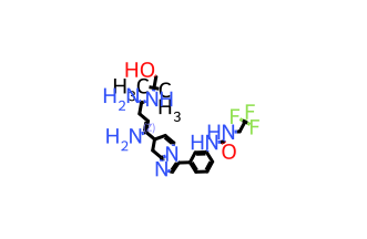 CC(C)(CO)NC(N)C/C=C(\N)C1C=Cn2c(-c3cccc(NC(=O)NCC(F)(F)F)c3)cnc2C1